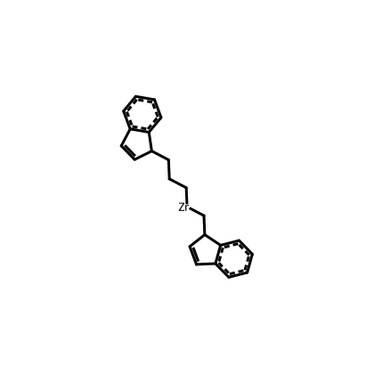 C1=CC(CC[CH2][Zr][CH2]C2C=Cc3ccccc32)c2ccccc21